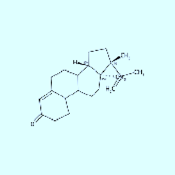 C=C(C)[C@@]1(C)CC[C@H]2C3CCC4=CC(=O)CCC4C3CC[C@@]21C